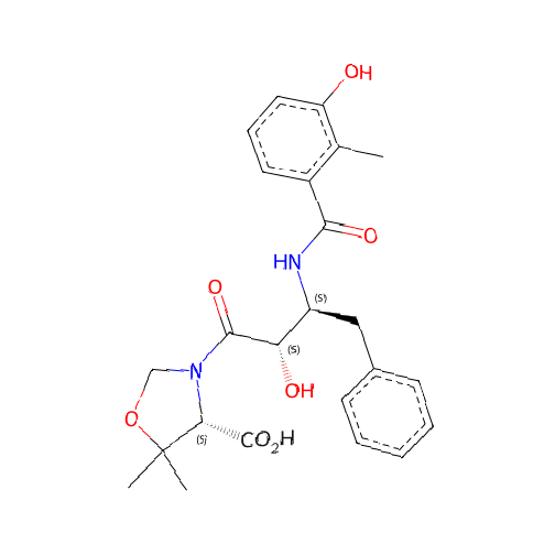 Cc1c(O)cccc1C(=O)N[C@@H](Cc1ccccc1)[C@H](O)C(=O)N1COC(C)(C)[C@H]1C(=O)O